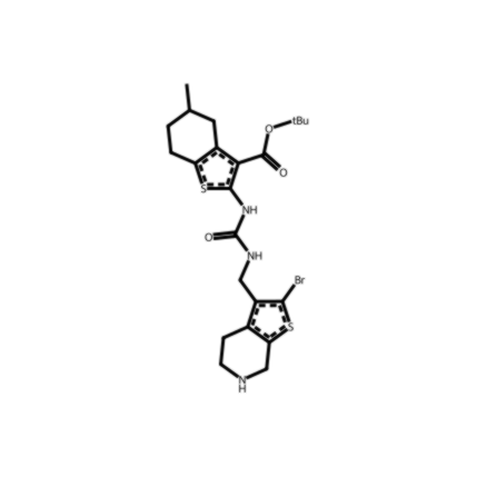 CC1CCc2sc(NC(=O)NCc3c(Br)sc4c3CCNC4)c(C(=O)OC(C)(C)C)c2C1